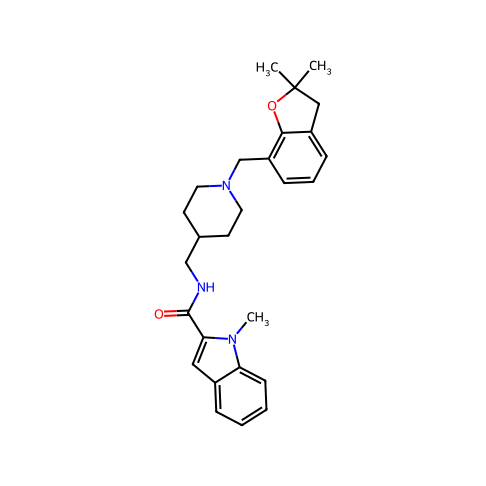 Cn1c(C(=O)NCC2CCN(Cc3cccc4c3OC(C)(C)C4)CC2)cc2ccccc21